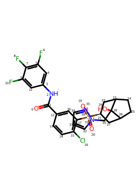 O=C(Nc1cc(F)c(F)c(F)c1)c1ccc(Cl)c(S(=O)(=O)[C@H]2CC3CCC(C2)[C@]3(O)Cn2cccn2)c1